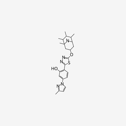 Cc1ccn(-c2ccc(-c3nnc(OC4CC5C(C)C(C)C(C)C(C)(C4)N5C)s3)c(O)c2)n1